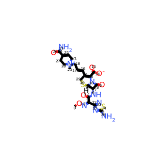 CO/N=C(\C(=O)N[C@@H]1C(=O)N2C(C(=O)[O-])=C(/C=C/C[N+]3(C)CC=C(C(N)=O)CC3)CS[C@@H]12)c1nsc(N)n1